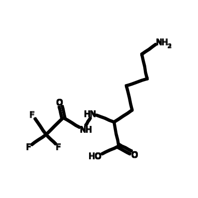 NCCCCC(NNC(=O)C(F)(F)F)C(=O)O